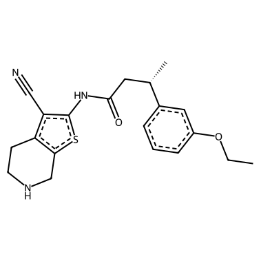 CCOc1cccc([C@@H](C)CC(=O)Nc2sc3c(c2C#N)CCNC3)c1